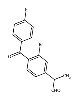 CC(C=O)c1ccc(C(=O)c2ccc(F)cc2)c(Br)c1